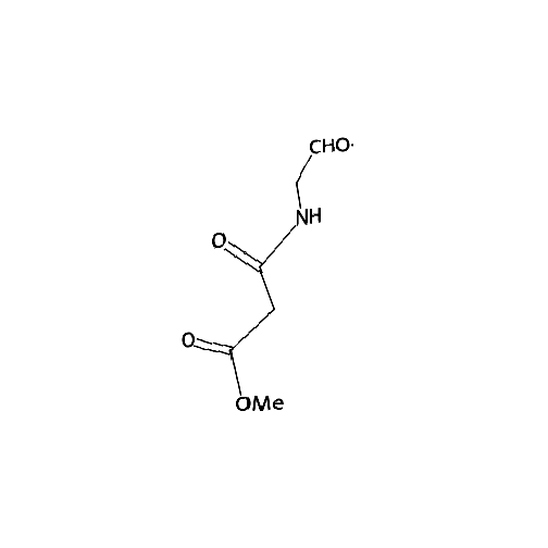 COC(=O)CC(=O)NC[C]=O